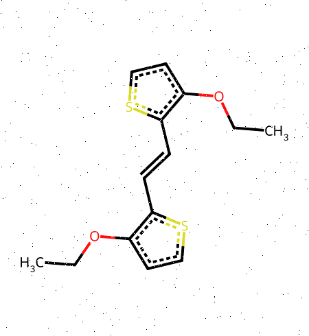 CCOc1ccsc1C=Cc1sccc1OCC